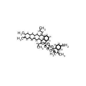 CCCCCCCCC(CCC)c1cccc(S(=O)(=O)[O][Ti](=[O])[O]S(=O)(=O)c2ccc(N)cc2C(C)C)c1C(CCC)CCCCCCCC